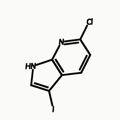 Clc1ccc2c(I)c[nH]c2n1